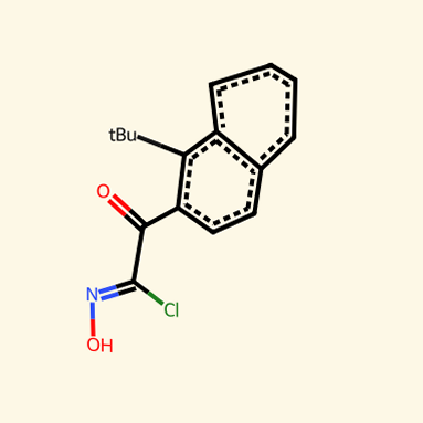 CC(C)(C)c1c(C(=O)/C(Cl)=N/O)ccc2ccccc12